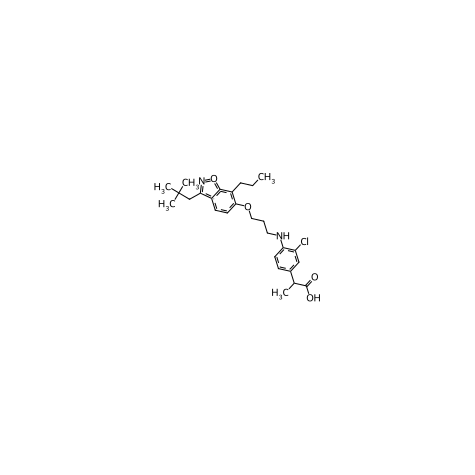 CCCc1c(OCCCNc2ccc(C(C)C(=O)O)cc2Cl)ccc2c(CC(C)(C)C)noc12